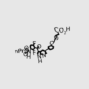 CCCS(=O)(=O)Nc1ccc(F)c(C(=O)c2c[nH]c3ncc(-c4cccc(OCCOCCC(=O)O)c4)cc23)c1F